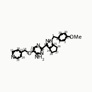 COc1ccc(Cn2nc(-c3ncc(OCc4ccncc4)c(N)n3)c3c2CCC3)cc1